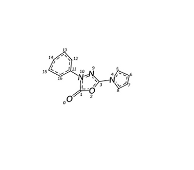 O=c1oc(-n2cccc2)nn1-c1ccccc1